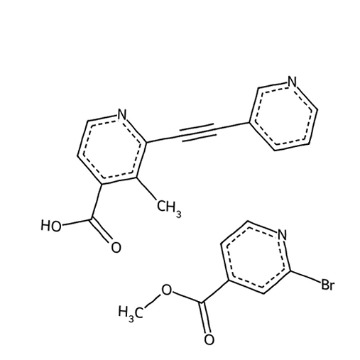 COC(=O)c1ccnc(Br)c1.Cc1c(C(=O)O)ccnc1C#Cc1cccnc1